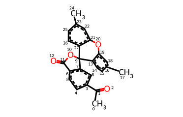 CC(=O)c1ccc2c(c1)C1(OC2=O)c2ccc(C)cc2Oc2cc(C)ccc21